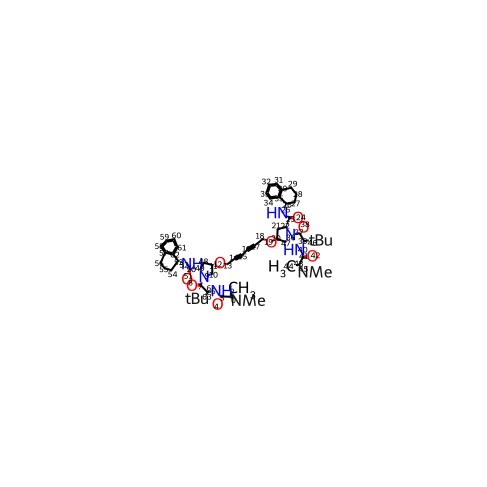 CN[C@@H](C)C(=O)NC(C(=O)N1C[C@@H](OCC#CC#CCO[C@H]2C[C@@H](C(=O)N[C@@H]3CCCc4ccccc43)N(C(=O)C(NC(=O)[C@H](C)NC)C(C)(C)C)C2)C[C@H]1C(=O)N[C@@H]1CCCc2ccccc21)C(C)(C)C